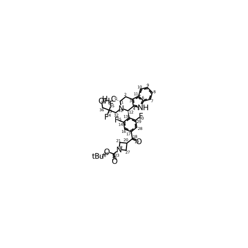 C[C@@H]1Cc2c([nH]c3ccccc23)[C@@H](c2c(F)cc(C(=O)C3CN(C(=O)OC(C)(C)C)C3)cc2F)N1CC(F)(F)CO